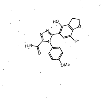 COc1ccc(-n2c(C(N)=O)nnc2-c2cc(C(C)C)c3c(c2O)CCO3)cc1